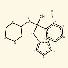 N#CC(Cn1ccnc1)(OC1CCCCC1)c1ccccc1F